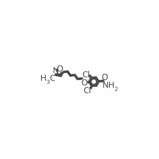 Cc1cc(CCCCCOc2c(Cl)cc(C(N)=O)cc2Cl)on1